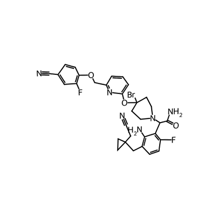 N#CCC1(Cc2ccc(F)c(C(C(N)=O)N3CCC(Br)(Oc4cccc(COc5ccc(C#N)cc5F)n4)CC3)c2N)CC1